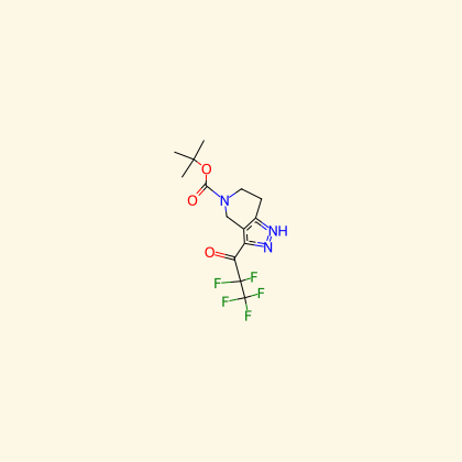 CC(C)(C)OC(=O)N1CCc2[nH]nc(C(=O)C(F)(F)C(F)(F)F)c2C1